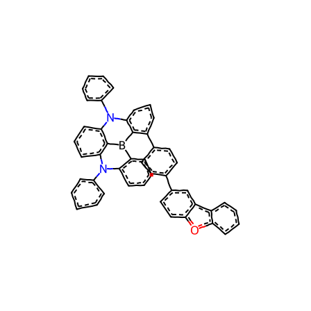 c1ccc(N2c3ccccc3B3c4c(-c5ccc(-c6ccc7oc8ccccc8c7c6)cc5)cccc4N(c4ccccc4)c4cccc2c43)cc1